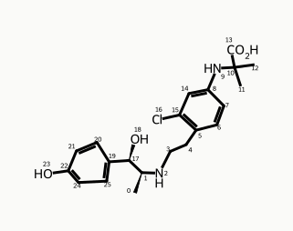 C[C@H](NCCc1ccc(NC(C)(C)C(=O)O)cc1Cl)[C@H](O)c1ccc(O)cc1